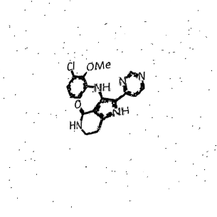 COc1c(Cl)cccc1Nc1c(-c2ccncn2)[nH]c2c1C(=O)NCC2